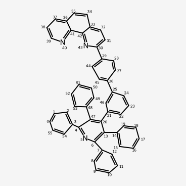 c1ccc(-c2nc(-c3ccccc3)c(-c3ccccc3)c(-c3cccc(-c4ccc(-c5ccc6ccc7cccnc7c6n5)cc4)c3)c2-c2ccccc2)cc1